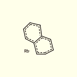 [Rb].c1ccc2ccccc2c1